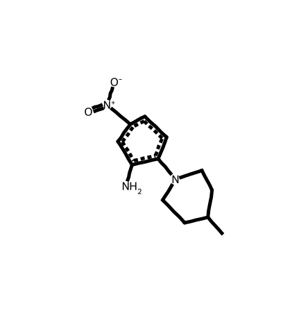 CC1CCN(c2ccc([N+](=O)[O-])cc2N)CC1